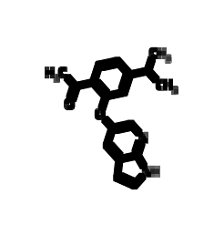 CC(=O)c1ccc(C(C)C)cc1Oc1cnc2[nH]ccc2c1